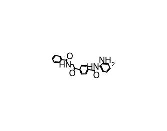 Nc1ccccc1NC(=O)c1ccc(C(=O)CNC(=O)c2ccccc2)cc1